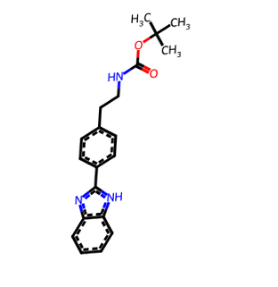 CC(C)(C)OC(=O)NCCc1ccc(-c2nc3ccccc3[nH]2)cc1